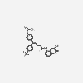 CC(C)Oc1ccc(/C(=C/C=C/C(=O)Nc2cccc3c2CC(O)C(=O)N3)c2ccc(C(F)(F)F)cc2)cc1